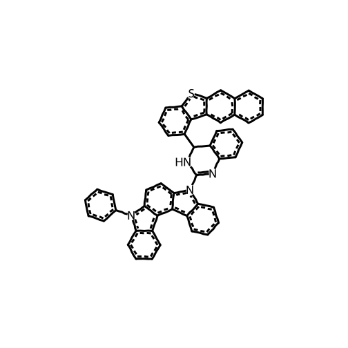 c1ccc(-n2c3ccccc3c3c4c5ccccc5n(C5=Nc6ccccc6C(c6cccc7sc8cc9ccccc9cc8c67)N5)c4ccc32)cc1